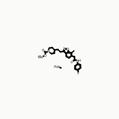 CNC.Cc1c(CC(=O)Nc2ccc(F)cc2)ccc2c(CCC3CCN(C(=O)OC(C)(C)C)CC3)noc12